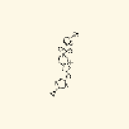 CCc1ccc(S(=O)(=O)N2CCN3C[C@@H](Oc4cnc(C5CC5)cn4)C[C@H]3C2)s1